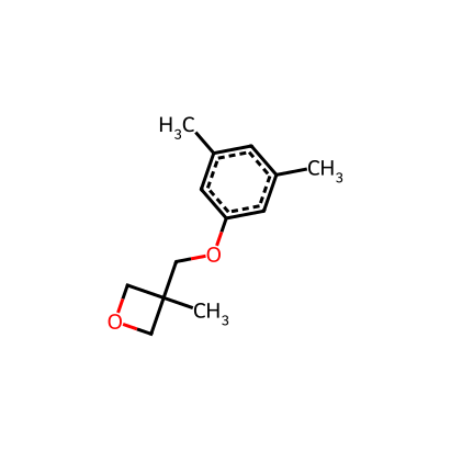 Cc1cc(C)cc(OCC2(C)COC2)c1